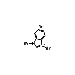 CC(C)n1c[n+](C(C)C)c2ccccc21.[Br-]